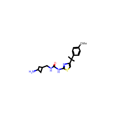 COc1ccc(C(C)(C)c2csc(NC(=O)NCC3CC(N)C3)n2)cc1